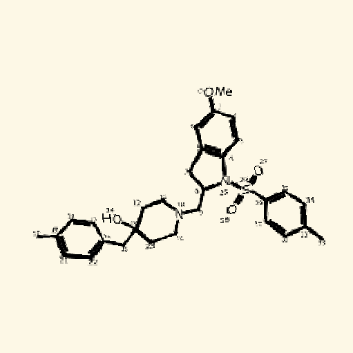 COc1ccc2c(c1)CC(CN1CCC(O)(Cc3ccc(C)cc3)CC1)N2S(=O)(=O)c1ccc(C)cc1